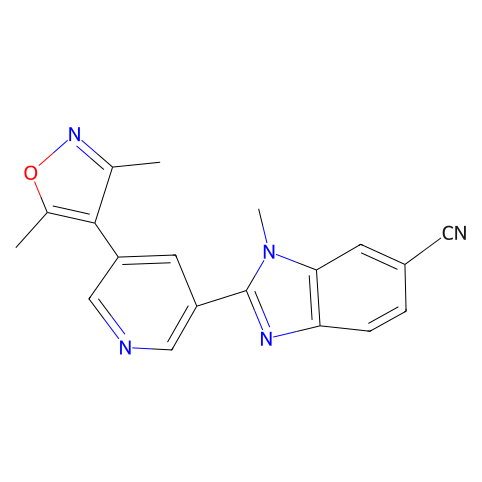 Cc1noc(C)c1-c1cncc(-c2nc3ccc(C#N)cc3n2C)c1